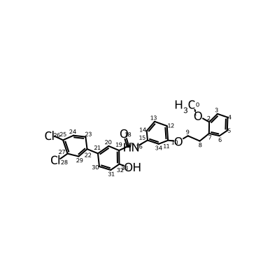 COc1ccccc1CCOc1cccc(NC(=O)c2cc(-c3ccc(Cl)c(Cl)c3)ccc2O)c1